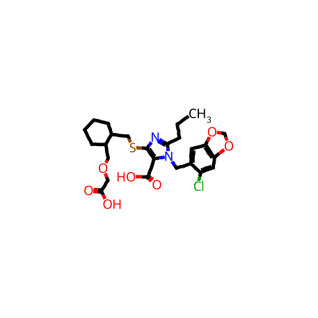 CCCc1nc(SCC2CCCCC2COCC(=O)O)c(C(=O)O)n1Cc1cc2c(cc1Cl)OCO2